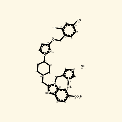 Cn1cncc1Cn1c(CN2CCC(n3ccc(OCc4ccc(C#N)cc4F)n3)CC2)nc2ccc(C(=O)O)cc21.N